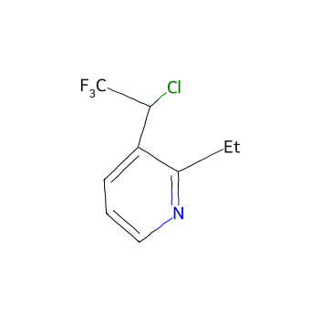 CCc1ncccc1C(Cl)C(F)(F)F